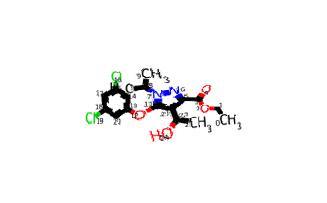 CCOC(=O)c1nn(C(C)C)c(Oc2cc(Cl)cc(Cl)c2)c1C(C)O